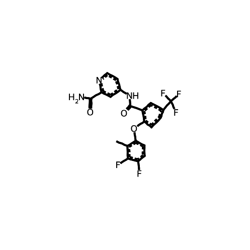 Cc1c(Oc2ccc(C(F)(F)F)cc2C(=O)Nc2ccnc(C(N)=O)c2)ccc(F)c1F